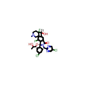 CCC(O)(c1cc(F)c2c(c1)C(=O)N(Cc1ncc(Cl)cn1)[C@@]2(OCC(C)O)c1ccc(Cl)cc1)C1(F)CCN(C)CC1